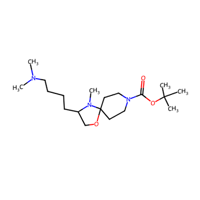 CN(C)CCCCC1COC2(CCN(C(=O)OC(C)(C)C)CC2)N1C